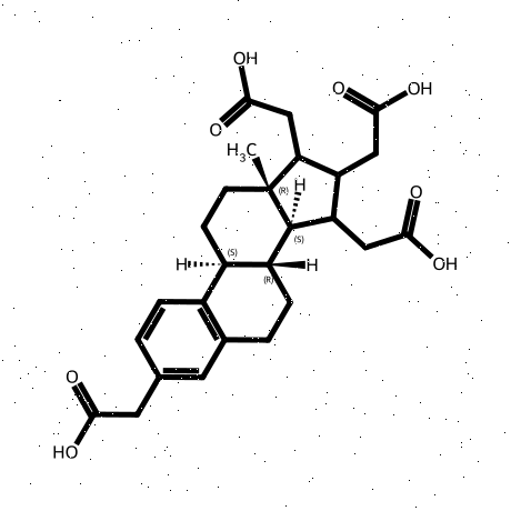 C[C@]12CC[C@@H]3c4ccc(CC(=O)O)cc4CC[C@H]3[C@@H]1C(CC(=O)O)C(CC(=O)O)C2CC(=O)O